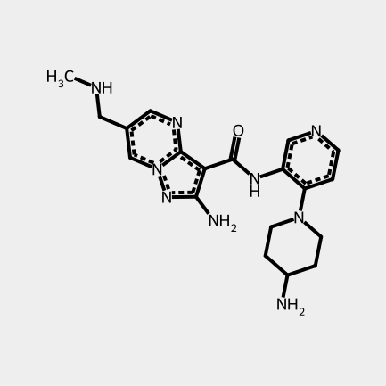 CNCc1cnc2c(C(=O)Nc3cnccc3N3CCC(N)CC3)c(N)nn2c1